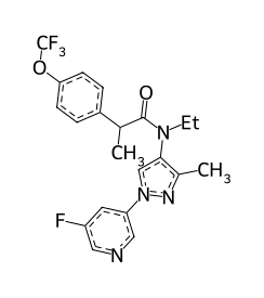 CCN(C(=O)C(C)c1ccc(OC(F)(F)F)cc1)c1cn(-c2cncc(F)c2)nc1C